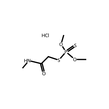 CNC(=O)CSP(=S)(OC)OC.Cl